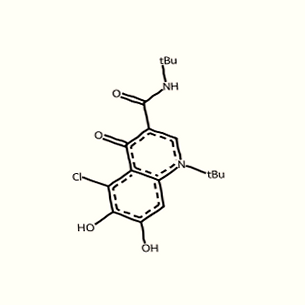 CC(C)(C)NC(=O)c1cn(C(C)(C)C)c2cc(O)c(O)c(Cl)c2c1=O